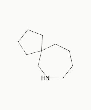 C1CCC2(CCCC2)CNC1